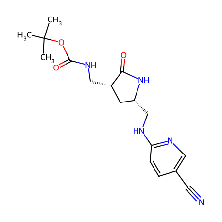 CC(C)(C)OC(=O)NC[C@H]1C[C@@H](CNc2ccc(C#N)cn2)NC1=O